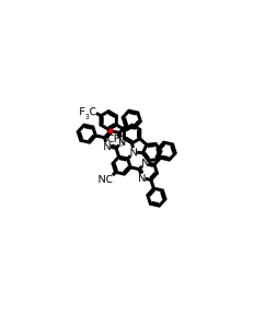 N#Cc1cc(-c2nc(-c3ccccc3)cc(-c3ccccc3)n2)c(-n2c3ccccc3c3ccc(-c4ccc(C(F)(F)F)cc4C(F)(F)F)cc32)c(-c2nc(-c3ccccc3)cc(-c3ccccc3)n2)c1